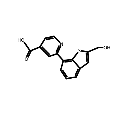 O=C(O)c1ccnc(-c2cccc3cc(CO)sc23)c1